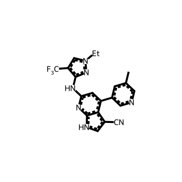 CCn1cc(C(F)(F)F)c(Nc2cc(-c3cncc(C)c3)c3c(C#N)c[nH]c3n2)n1